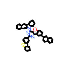 c1ccc2cc(-c3ccc4oc5c(-n6c7ccccc7c7cc8ccccc8cc76)nc(-c6ccc7sc8ccccc8c7c6)nc5c4c3)ccc2c1